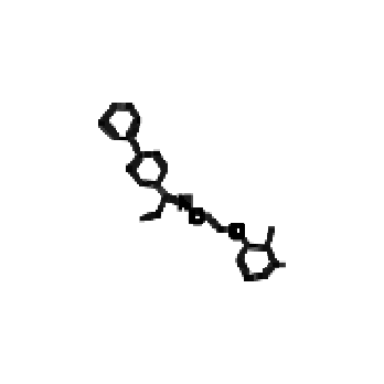 CC/C(=N\OCCOc1ccc[c]c1C)c1ccc(-c2ccccc2)cc1